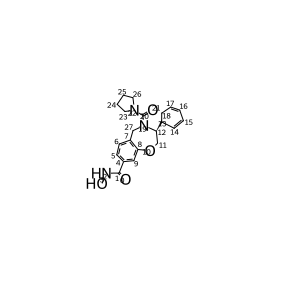 O=C(NO)c1ccc2c(c1)OC[C@H](C1C=CC=CC1)N(C(=O)N1CCCC1)C2